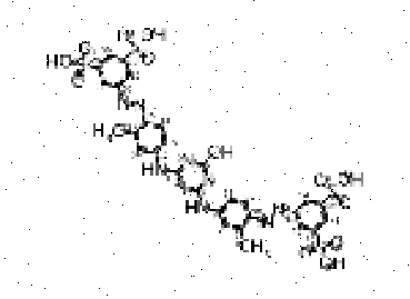 Cc1cc(Nc2nc(O)nc(Nc3ccc(/N=N/c4cc(S(=O)(=O)O)cc(S(=O)(=O)O)c4)c(C)c3)n2)ccc1/N=N/c1cc(S(=O)(=O)O)cc(S(=O)(=O)O)c1